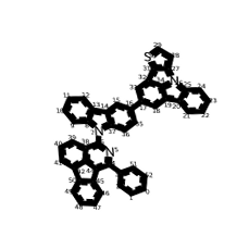 c1ccc(-c2nc(-n3c4ccccc4c4cc(-c5cc6c7ccccc7n7c8ccsc8c(c5)c67)ccc43)c3cccc4c3c2-c2ccccc2-4)cc1